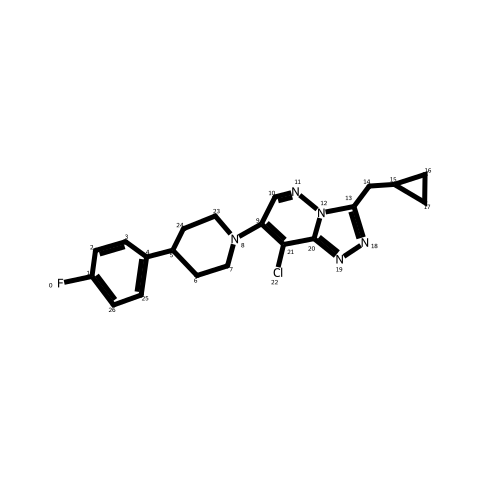 Fc1ccc(C2CCN(c3cnn4c(CC5CC5)nnc4c3Cl)CC2)cc1